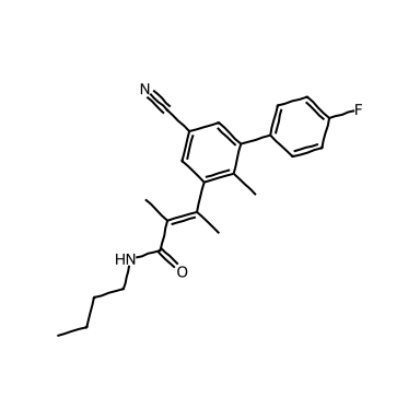 CCCCNC(=O)/C(C)=C(\C)c1cc(C#N)cc(-c2ccc(F)cc2)c1C